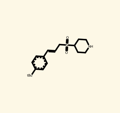 CC(C)(C)c1ccc(C=CCS(=O)(=O)C2CCNCC2)cc1